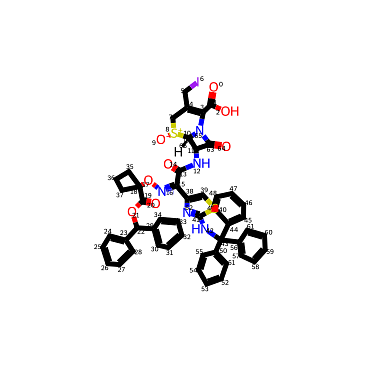 O=C(O)C1=C(CI)C[S+]([O-])[C@H]2C(NC(=O)/C(=N\OC3(C(=O)OC(c4ccccc4)c4ccccc4)CCC3)c3csc(NC(c4ccccc4)(c4ccccc4)c4ccccc4)n3)C(=O)N12